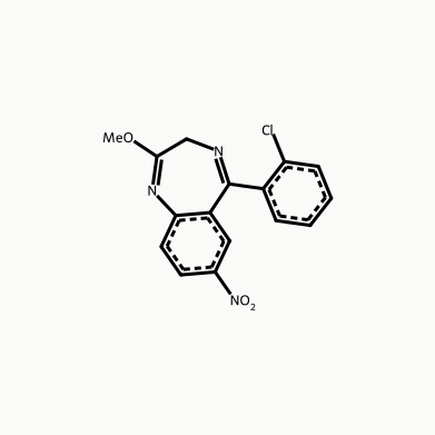 COC1=Nc2ccc([N+](=O)[O-])cc2C(c2ccccc2Cl)=NC1